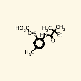 CCC(C)(C)C(=O)Nc1ccc(C)cc1SOC(=O)O